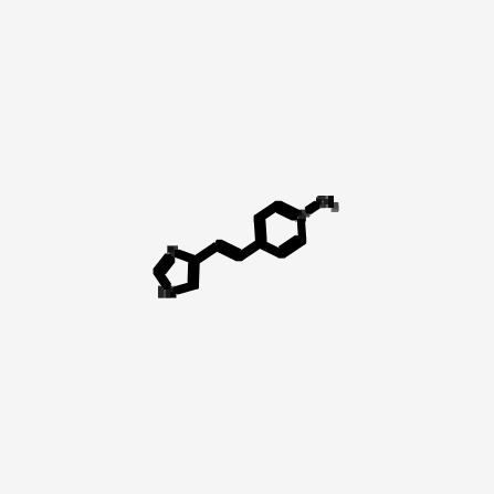 C[n+]1ccc(/C=C/c2c[nH]cn2)cc1